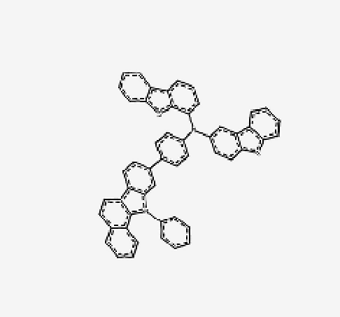 c1ccc(-n2c3cc(-c4ccc(N(c5ccc6sc7ccccc7c6c5)c5cccc6c5sc5ccccc56)cc4)ccc3c3ccc4ccccc4c32)cc1